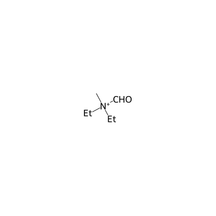 CC[N+](C)(C=O)CC